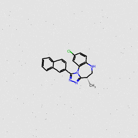 C[C@H]1CNc2ccc(Cl)cc2-n2c(-c3ccc4ccccc4c3)nnc21